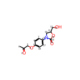 CC(=O)COc1ccc(N2CC(CO)OC2=O)cc1